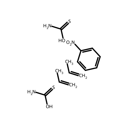 C=CC.C=CC.NC(O)=S.NC(O)=S.O=[N+]([O-])c1ccccc1